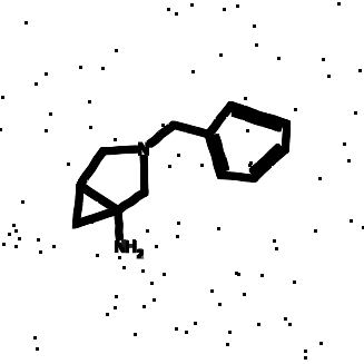 NC12CC1CN(Cc1ccccc1)C2